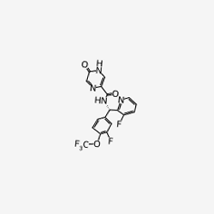 O=C(N[C@@H](c1ccc(OC(F)(F)F)c(F)c1)c1ncccc1F)c1c[nH]c(=O)cn1